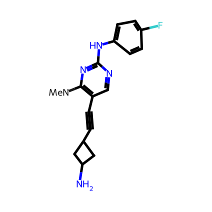 CNc1nc(Nc2ccc(F)cc2)ncc1C#CC1CC(N)C1